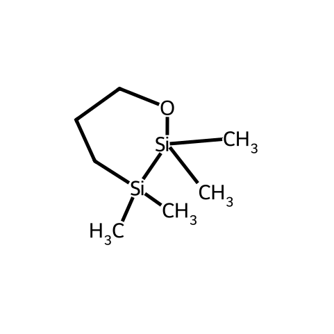 C[Si]1(C)CCCO[Si]1(C)C